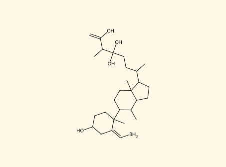 B/C=C1/CC(O)CCC1(C)C1CCC2(C)C(C(C)CCC(O)(O)C(C)C(=C)O)CCC2C1C